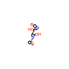 COc1ccc2nccc([C@@H](O)CC[C@@H]3CCN(CCSc4ccccc4OC)C[C@@H]3CO)c2c1